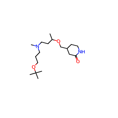 CC(CCN(C)CCCOC(C)(C)C)OCC1CCNC(=O)C1